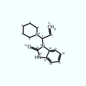 C=CC(N1CCCCC1)n1c(=O)[nH]c2ccccc21